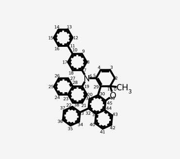 CC12CC=CC(N(c3ccc(-c4ccccc4)cc3)c3cccc4ccccc34)=C1c1cc(-c3ccccc3)c3ccccc3c1O2